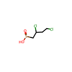 O=S(O)CC(Cl)CCCl